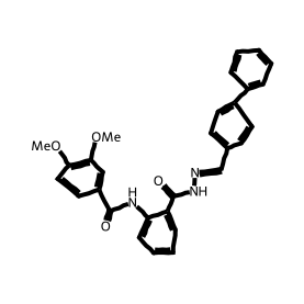 COc1ccc(C(=O)Nc2ccccc2C(=O)NN=Cc2ccc(-c3ccccc3)cc2)cc1OC